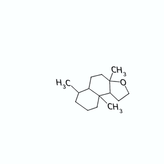 CC1CCCC2(C)C1CCC1(C)OCCC12